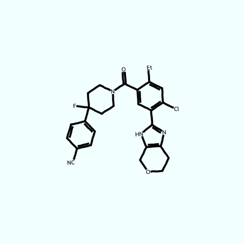 CCc1cc(Cl)c(-c2nc3c([nH]2)COCC3)cc1C(=O)N1CCC(F)(c2ccc(C#N)cc2)CC1